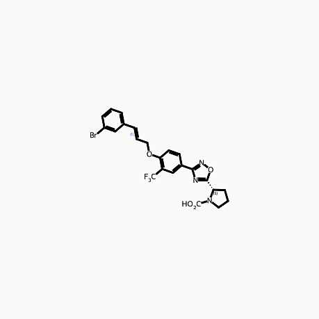 O=C(O)N1CCC[C@H]1c1nc(-c2ccc(OC/C=C/c3cccc(Br)c3)c(C(F)(F)F)c2)no1